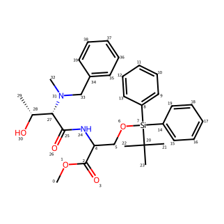 COC(=O)C(CO[Si](c1ccccc1)(c1ccccc1)C(C)(C)C)NC(=O)[C@H]([C@@H](C)O)N(C)Cc1ccccc1